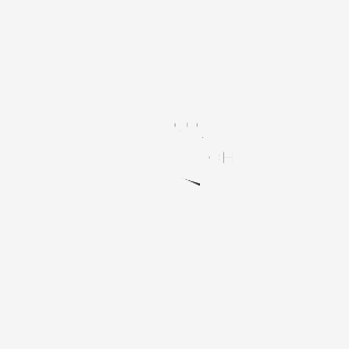 C=C(C)C(O)[C@H]1CCCC[C@@H]1C(=O)O